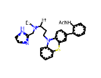 CCC(CCN1c2ccccc2Sc2cc(-c3ccccc3NC(C)=O)ccc21)N(CC)Cc1ncc[nH]1